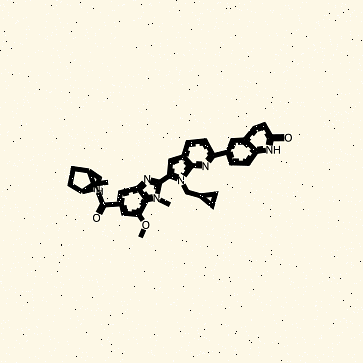 COc1cc(C(=O)N2CC3CCC2[C@@H]3C)cc2nc(-c3cc4ccc(-c5ccc6[nH]c(=O)ccc6c5)nc4n3CC3CC3)n(C)c12